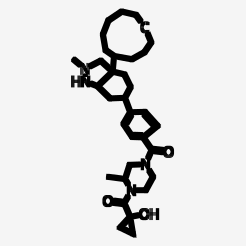 CC1CN(C(=O)c2ccc(C3CCC4(C5CCCCCCCCC5)CN(C)NC4C3)cc2)CCN1C(=O)C1(O)CC1